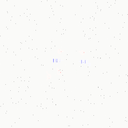 Nc1c(Cl)cc(NC(=O)c2ccccc2Oc2ccccc2)c2c1C(=O)c1ccccc1C2=O